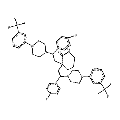 O=C1NCCCC1(CC(c1ccc(F)cc1)N1CCN(c2cccc(C(F)(F)F)c2)CC1)CC(c1ccc(F)cc1)N1CCN(c2cccc(C(F)(F)F)c2)CC1